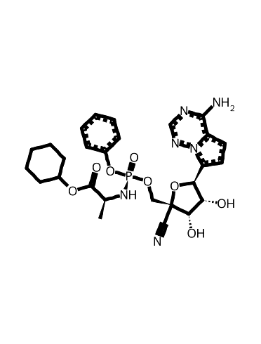 C[C@H](N[P@@](=O)(OC[C@@]1(C#N)O[C@@H](c2ccc3c(N)ncnn23)[C@H](O)[C@@H]1O)Oc1ccccc1)C(=O)OC1CCCCC1